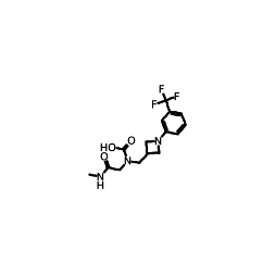 CNC(=O)CN(CC1CN(c2cccc(C(F)(F)F)c2)C1)C(=O)O